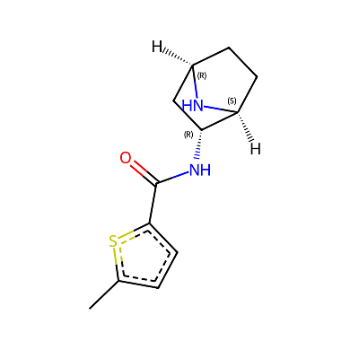 Cc1ccc(C(=O)N[C@@H]2C[C@H]3CC[C@@H]2N3)s1